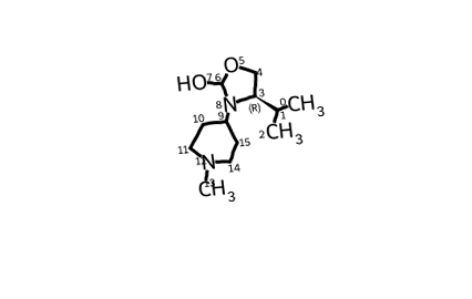 CC(C)[C@@H]1COC(O)N1C1CCN(C)CC1